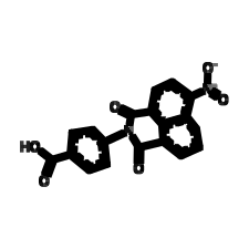 O=C(O)c1ccc(N2C(=O)c3cccc4c([N+](=O)[O-])ccc(c34)C2=O)cc1